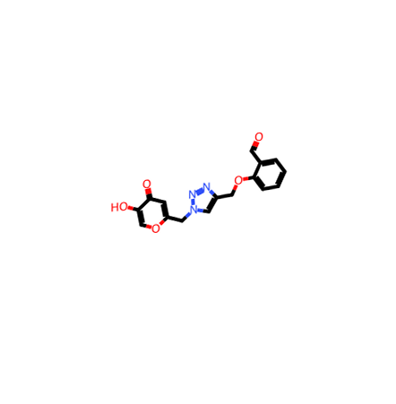 O=Cc1ccccc1OCc1cn(Cc2cc(=O)c(O)co2)nn1